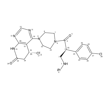 CC(C)NC[C@@H](C(=O)N1CCN(c2ncnc3c2[C@H](C(F)(F)F)CC(=O)N3)CC1)c1ccc(Cl)cc1